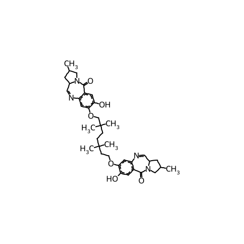 CC1CC2C=Nc3cc(OCCC(C)(C)CCC(C)(C)COc4cc5c(cc4O)C(=O)N4CC(C)CC4C=N5)c(O)cc3C(=O)N2C1